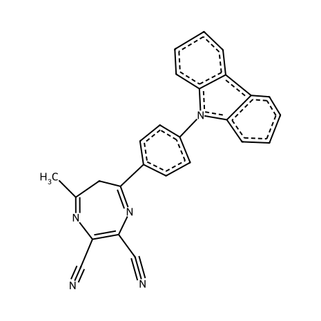 CC1=NC(C#N)=C(C#N)N=C(c2ccc(-n3c4ccccc4c4ccccc43)cc2)C1